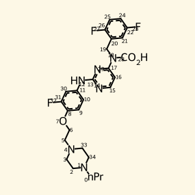 CCCN1CCN(CCOc2ccc(Nc3nccc(N(Cc4cc(F)ccc4F)C(=O)O)n3)cc2F)CC1